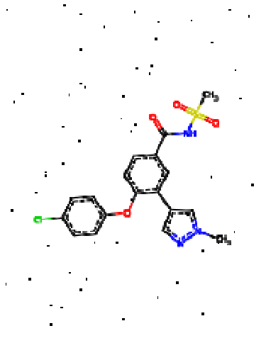 Cn1cc(-c2cc(C(=O)NS(C)(=O)=O)ccc2Oc2ccc(Cl)cc2)cn1